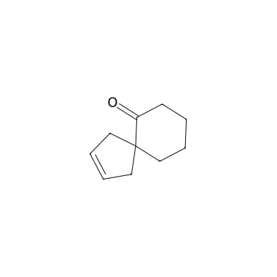 O=C1CCCCC12CC=CC2